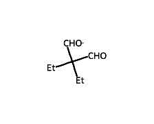 CCC([C]=O)(C=O)CC